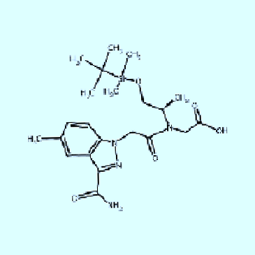 Cc1ccc2c(c1)c(C(N)=O)nn2CC(=O)N(CC(=O)O)[C@H](C)CO[Si](C)(C)C(C)(C)C